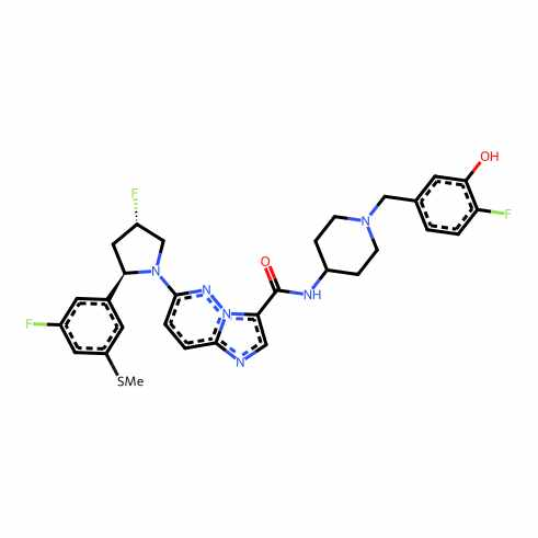 CSc1cc(F)cc([C@H]2C[C@H](F)CN2c2ccc3ncc(C(=O)NC4CCN(Cc5ccc(F)c(O)c5)CC4)n3n2)c1